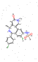 C[C@@H]1N=C(c2ccc(F)cc2)c2cc(F)c(NS(C)(=O)=O)cc2-c2cn(C)c(=O)cc21